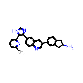 Cc1cccc(-c2[nH]cnc2-c2ccc3ncc(-c4ccc5c(c4)CC(N)C5)cc3c2)n1